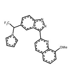 COc1cccc2ccc(-c3nnc4ccc(C(n5cccc5)C(F)(F)F)cn34)nc12